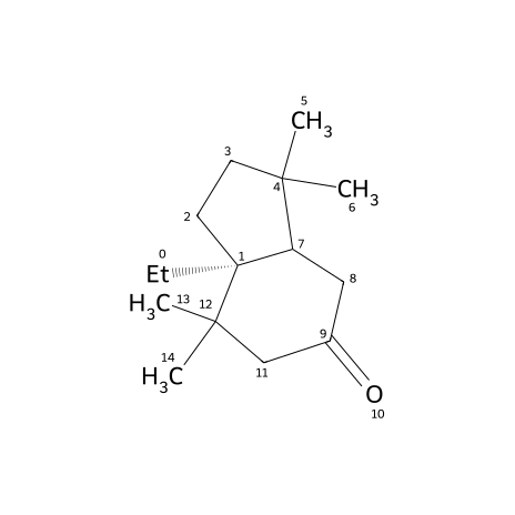 CC[C@]12CCC(C)(C)C1CC(=O)CC2(C)C